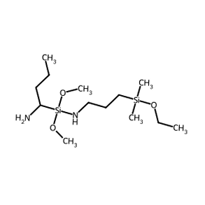 CCCC(N)[Si](NCCC[Si](C)(C)OCC)(OC)OC